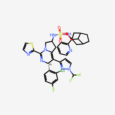 O=S(=O)(NCC1C2CCC1CC(O)(c1ccccn1)C2)NC1CC2=C(c3ccn(C(F)F)n3)[C@H](c3ccc(F)cc3Cl)N=C(c3nccs3)N2C1